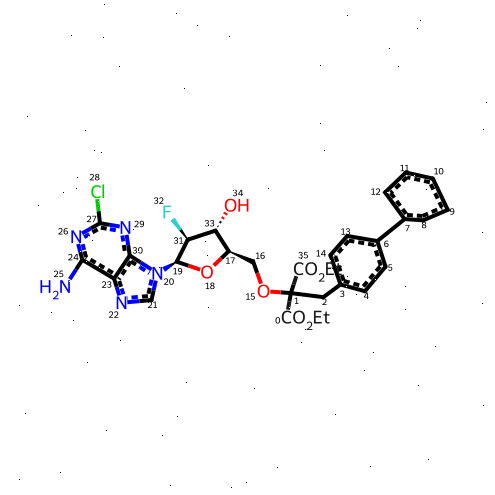 CCOC(=O)C(Cc1ccc(-c2ccccc2)cc1)(OC[C@H]1O[C@@H](n2cnc3c(N)nc(Cl)nc32)[C@@H](F)[C@@H]1O)C(=O)OCC